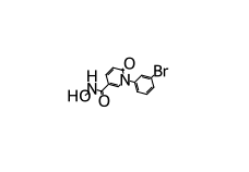 O=C(NO)c1ccc(=O)n(-c2cccc(Br)c2)c1